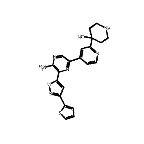 N#CC1(c2cc(-c3cnc(N)c(-c4cc(-c5cccs5)no4)n3)ccn2)CCNCC1